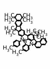 Cc1ccc(N2B3c4cc(C)ccc4-n4c5ccc6ccccc6c5c5c([Si](C)(C)C)cc(c3c54)-c3cc4c(cc32)C(C)(C)c2cc3c(cc2-4)C(C)(C)CCC3(C)C)cc1